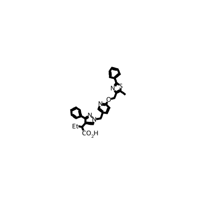 CCC(C(=O)O)c1cn(Cc2ccc(OCc3nc(-c4ccccc4)sc3C)nc2)nc1-c1ccccc1